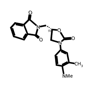 CNc1ccc(N2C[C@H](CN3C(=O)c4ccccc4C3=O)OC2=O)cc1C